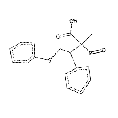 CC(P=O)(C(=O)O)C(CSc1ccccc1)c1ccccc1